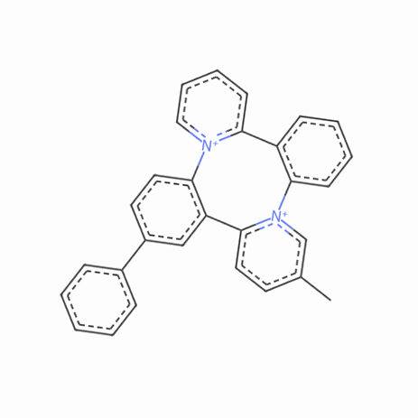 Cc1ccc2[n+](c1)-c1ccccc1-c1cccc[n+]1-c1ccc(-c3ccccc3)cc1-2